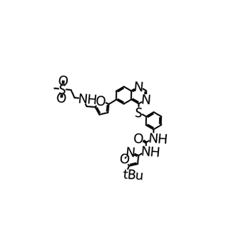 CC(C)(C)c1cc(NC(=O)Nc2cccc(Sc3ncnc4ccc(-c5ccc(CNCCS(C)(=O)=O)o5)cc34)c2)no1